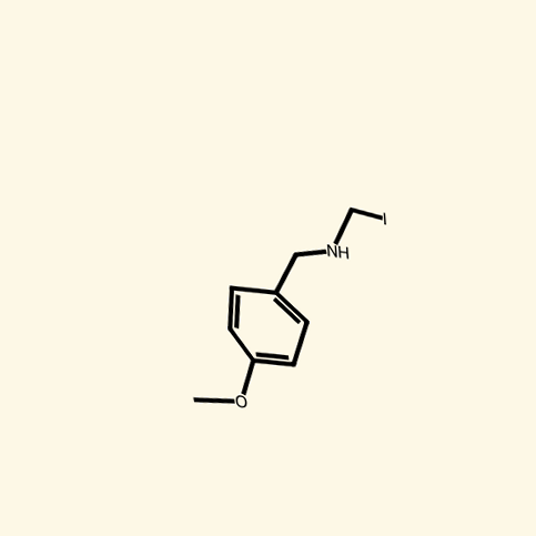 COc1ccc(CNCI)cc1